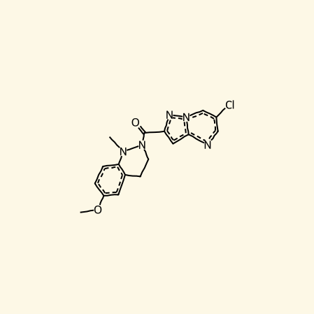 COc1ccc2c(c1)CCN(C(=O)c1cc3ncc(Cl)cn3n1)N2C